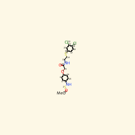 COOSNc1ccc(OCC(=O)NCCSc2ccc(Cl)c(Cl)c2)cc1